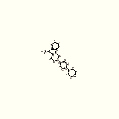 Cn1c2c(c3ccccc31)CN(c1ccc(N3CCOCC3)nc1)CC2